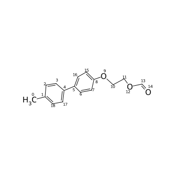 Cc1ccc(-c2ccc(OCCOC=O)cc2)cc1